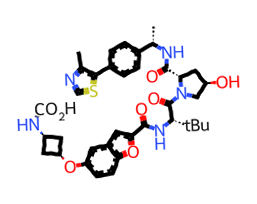 Cc1ncsc1-c1ccc([C@H](C)NC(=O)[C@@H]2C[C@@H](O)CN2C(=O)[C@@H](NC(=O)c2cc3cc(O[C@H]4C[C@@H](NC(=O)O)C4)ccc3o2)C(C)(C)C)cc1